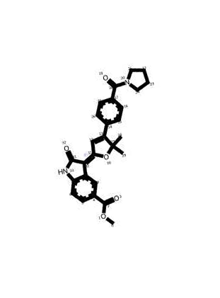 COC(=O)c1ccc2c(c1)/C(=C1/C=C(c3ccc(C(=O)N4CCCC4)cc3)C(C)(C)O1)C(=O)N2